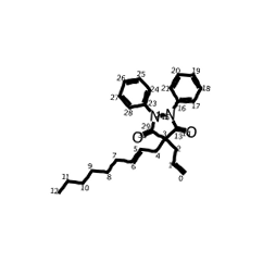 C=CCC1(CC=CCCCCCC)C(=O)N(c2ccccc2)N(c2ccccc2)C1=O